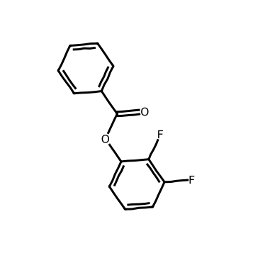 O=C(Oc1cccc(F)c1F)c1ccccc1